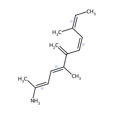 C=C(/C=C\C(C)=C/C)/C(C)=C/C=C(\C)N